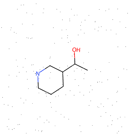 CC(O)C1CCC[N]C1